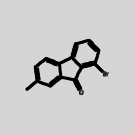 Cc1ccc2c(c1)C(=O)c1c(Br)cccc1-2